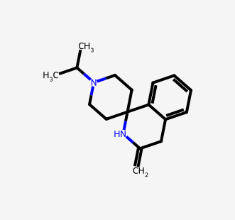 C=C1Cc2ccccc2C2(CCN(C(C)C)CC2)N1